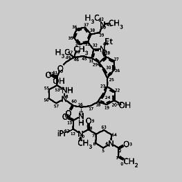 C=CC(=O)N1CCC(C(=O)N(C)[C@H](C(=O)N[C@H]2Cc3cc(O)cc(c3)-c3ccc4c(c3)c(c(-c3ccccc3CN(C)C)n4CC)CC(C)(C)COC(=O)[C@@]3(O)CCCN(N3)C2=O)C(C)C)CC1